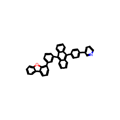 c1cncc(-c2ccc(-c3c4ccccc4c(-c4cccc(-c5cccc6c5oc5ccccc56)c4)c4ccccc34)cc2)c1